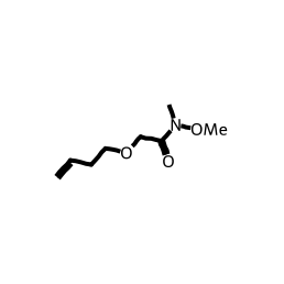 C=CCCOCC(=O)N(C)OC